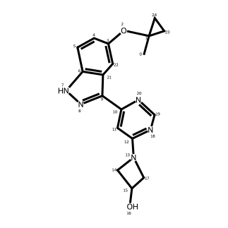 CC1(Oc2ccc3[nH]nc(-c4cc(N5CC(O)C5)ncn4)c3c2)CC1